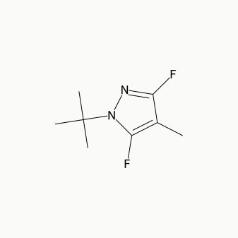 Cc1c(F)nn(C(C)(C)C)c1F